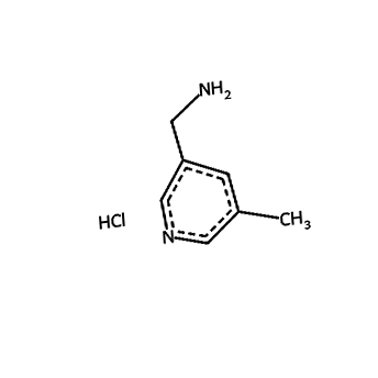 Cc1cncc(CN)c1.Cl